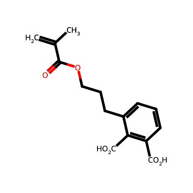 C=C(C)C(=O)OCCCc1cccc(C(=O)O)c1C(=O)O